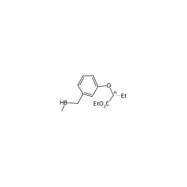 CBCc1cccc(O[C@H](CC)C(=O)OCC)c1